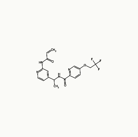 C=CC(=O)Nc1cc(C(C)NC(=O)c2ccc(OCC(F)(F)F)cn2)ccn1